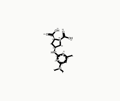 Cc1cc(N(C)C)nc(N[C@H]2C[C@@H](C(=O)O)N(C(=O)O)C2)n1